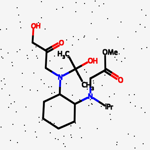 COC(=O)CN(C(C)C)C1CCCCC1N(CC(=O)CO)C(C)(C)O